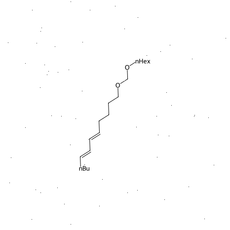 CCCCC=CC=CCCCCOCOCCCCCC